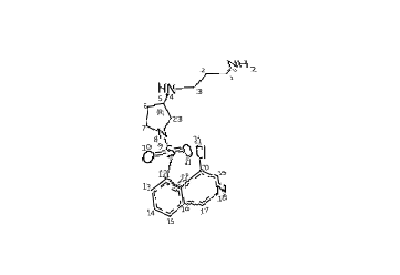 NCCCN[C@@H]1CCN(S(=O)(=O)c2cccc3cncc(Cl)c23)C1